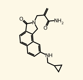 C=C(CN1Cc2c(ccc3ccc(NCC4CC4)cc23)C1=O)C(N)=O